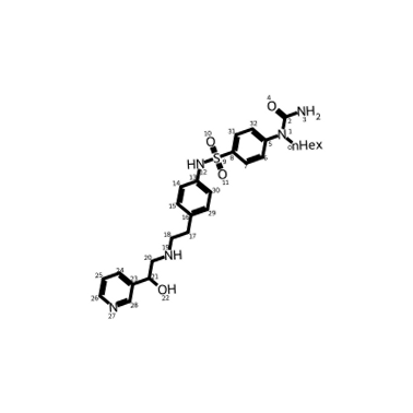 CCCCCCN(C(N)=O)c1ccc(S(=O)(=O)Nc2ccc(CCNCC(O)c3cccnc3)cc2)cc1